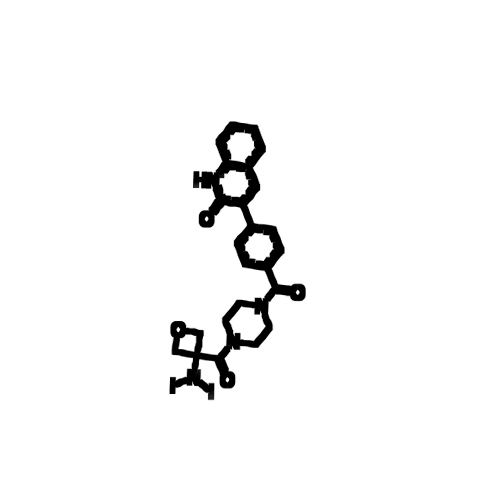 O=C(c1ccc(-c2cc3ccccc3[nH]c2=O)cc1)N1CCN(C(=O)C2(N(I)I)COC2)CC1